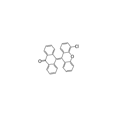 O=C1c2ccccc2C(=C2c3ccccc3Oc3c(Cl)cccc32)c2ccccc21